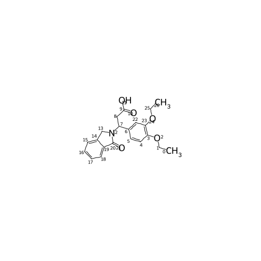 CCOc1ccc(C(CC(=O)O)N2Cc3ccccc3C2=O)cc1OCC